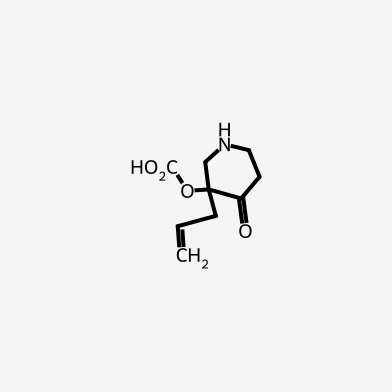 C=CCC1(OC(=O)O)CNCCC1=O